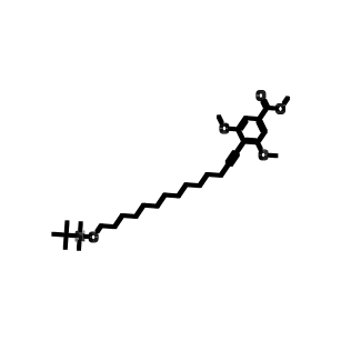 COC(=O)c1cc(OC)c(C#CCCCCCCCCCCCCO[Si](C)(C)C(C)(C)C)c(OC)c1